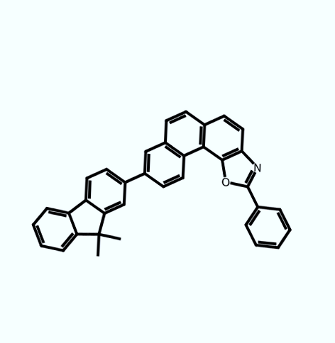 CC1(C)c2ccccc2-c2ccc(-c3ccc4c(ccc5ccc6nc(-c7ccccc7)oc6c54)c3)cc21